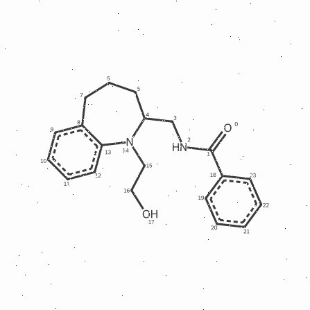 O=C(NCC1CCCc2ccccc2N1CCO)c1ccccc1